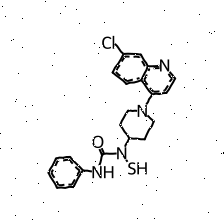 O=C(Nc1ccccc1)N(S)C1CCN(c2ccnc3cc(Cl)ccc23)CC1